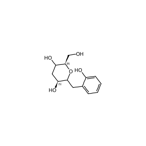 OC[C@H]1OC(Cc2ccccc2O)[C@@H](O)CC1O